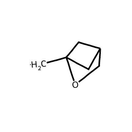 [CH2]C12CC(CO1)C2